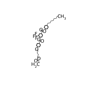 C=CC(=O)OCCCCOc1ccc(C(=O)Oc2ccc(C(=O)Oc3ccc(CCCCCCCC)cc3)cc2C(F)(F)F)cc1